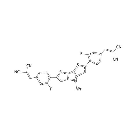 CCCn1c2cc(-c3ccc(C=C(C#N)C#N)cc3F)sc2c2sc(-c3ccc(C=C(C#N)C#N)cc3F)cc21